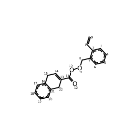 C=Cc1ccccc1COOC(=O)C1=CCc2ccc[c]c2[CH]1